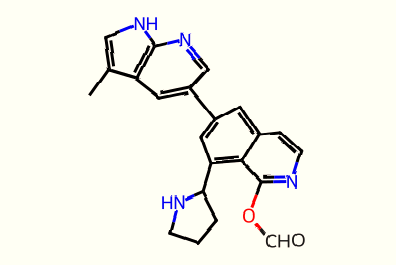 Cc1c[nH]c2ncc(-c3cc(C4CCCN4)c4c(OC=O)nccc4c3)cc12